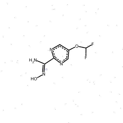 N/C(=N\O)c1ncc(OC(F)F)cn1